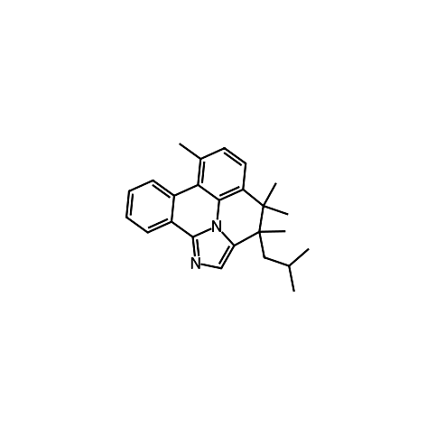 Cc1ccc2c3c1c1ccccc1c1ncc(n13)C(C)(CC(C)C)C2(C)C